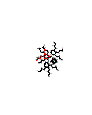 CCCCc1ccc(P(c2ccc(CCCC)c(CCCC)c2CCCC)[C]23[CH]4[CH]5[CH]6[C]2(P(c2ccc(CCCC)c(CCCC)c2CCCC)c2ccc(CCCC)c(CCCC)c2CCCC)[Zr]54632789[CH]3[CH]2[CH]7[CH]8[CH]39)c(CCCC)c1CCCC